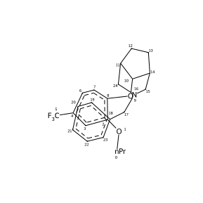 CCCOc1cc(C(F)(F)F)ccc1OC1C2CCC1CN(Cc1ccccc1)C2